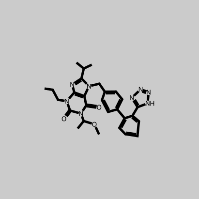 CCCn1c(=O)n(C(C)OC)c(=O)c2c1nc(C(C)C)n2Cc1ccc(-c2ccccc2-c2nnn[nH]2)cc1